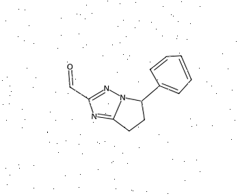 O=Cc1nc2n(n1)C(c1ccccc1)CC2